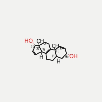 C[C@]12CCC3=C(CC[C@@H]4C[C@@H](O)C=C[C@]34C)[C@@H]1C=C[C@@H]2O